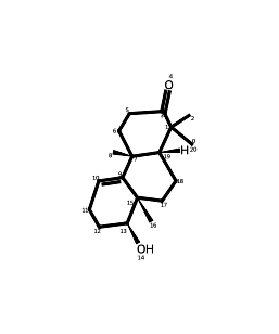 CC1(C)C(=O)CC[C@@]2(C)C3=CCC[C@H](O)[C@@]3(C)CC[C@@H]12